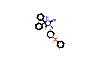 N=C1NC(c2ccccc2)(c2ccccc2)C(=O)N1C[C@H]1CCCN(S(=O)(=O)c2ccccc2)C1